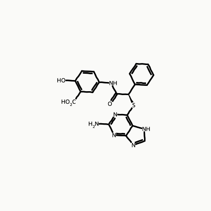 Nc1nc(S[C@@H](C(=O)Nc2ccc(O)c(C(=O)O)c2)c2ccccc2)c2[nH]cnc2n1